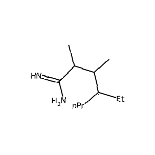 CCC[C](CC)C(C)C(C)C(=N)N